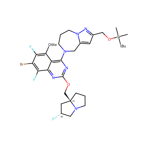 COc1c(F)c(Br)c(F)c2nc(OC[C@@]34CCCN3C[C@H](F)C4)nc(N3CCCn4nc(CO[Si](C)(C)C(C)(C)C)cc4C3)c12